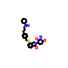 O=C1CCC(N2Cc3c(SCc4ccc(CCCNC5CCCCC5)cc4)cccc3C2=O)C(=O)N1